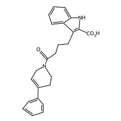 O=C(O)c1[nH]c2ccccc2c1CCCC(=O)N1CC=C(c2ccccc2)CC1